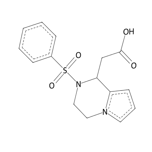 O=C(O)CC1c2cccn2CCN1S(=O)(=O)c1ccccc1